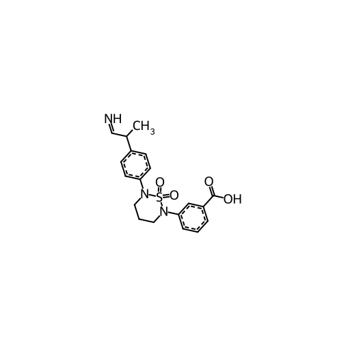 CC(C=N)c1ccc(N2CCCN(c3cccc(C(=O)O)c3)S2(=O)=O)cc1